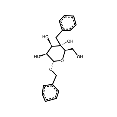 OC[C@H]1O[C@H](OCc2ccccc2)[C@@H](O)[C@@H](O)[C@@]1(O)Cc1ccccc1